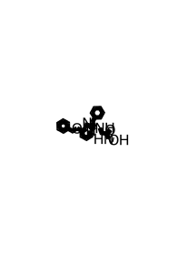 O=C(CNc1c(C2CCCCC2)nc2c(OCc3ccccc3)cccn12)NO